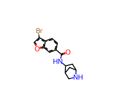 O=C(NC1CC2CC1CN2)c1ccc2c(Br)coc2c1